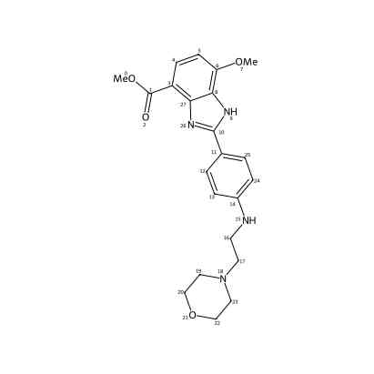 COC(=O)c1ccc(OC)c2[nH]c(-c3ccc(NCCN4CCOCC4)cc3)nc12